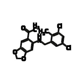 CC(=O)c1cc2c(cc1NCc1cc(Cl)cc(Cl)c1C)OCO2